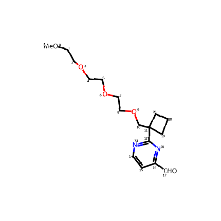 COCCOCCOCCOCC1(c2nccc(C=O)n2)CCC1